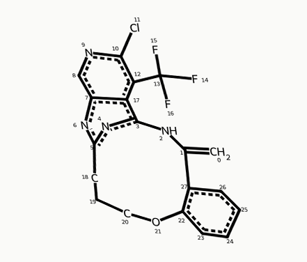 C=C1Nc2nc(nc3cnc(Cl)c(C(F)(F)F)c23)CCCOc2ccccc21